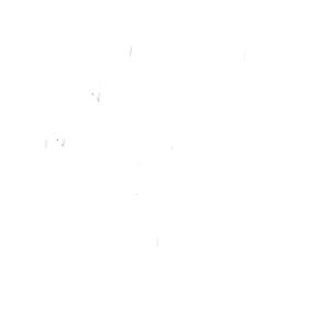 CCOC(=O)C1=CNSNC1c1ccc(Cl)cc1Cl